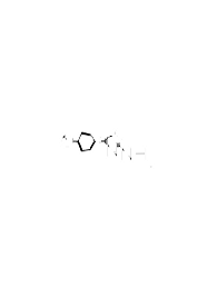 COc1ccc([C@@H]2CSC(N)=N2)cc1